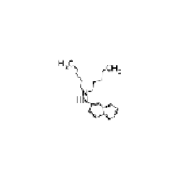 CCCCCN(CCCCC)Nc1ccc2ccccc2c1